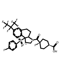 C[C@H]1CN(C(=O)[C@]2(F)CC[C@@H](C(=O)O)CC2)C2CCc3cc(C(F)(C(F)(F)F)C(F)(F)F)ccc3C21S(=O)(=O)c1ccc(F)cc1